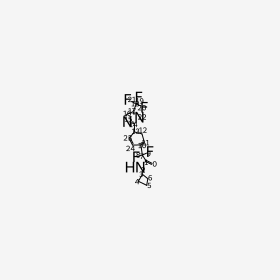 C=C(NC1CCC1)C(F)(F)C1=CCC(C2=NCC(C(F)(F)F)=N2)C=C1